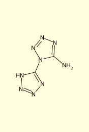 Nc1nnnn1-c1nnn[nH]1